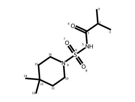 CC(C)C(=O)NS(=O)(=O)N1CCC(C)(C)CC1